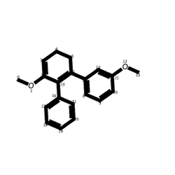 COC1=CC[CH]C(c2cccc(OC)c2)=C1c1ccccc1